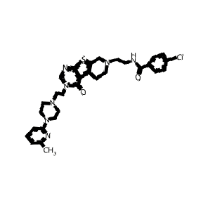 Cc1cccc(N2CCN(CCn3cnc4sc5c(c4c3=O)CCN(CCNC(=O)c3ccc(Cl)cc3)C5)CC2)n1